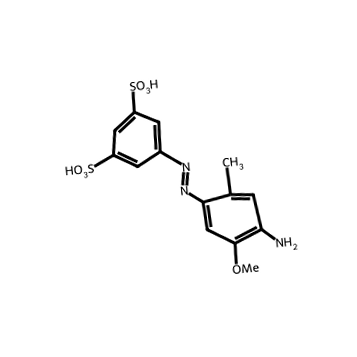 COc1cc(N=Nc2cc(S(=O)(=O)O)cc(S(=O)(=O)O)c2)c(C)cc1N